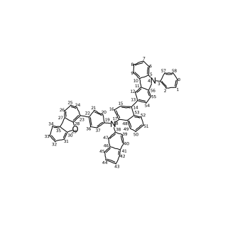 c1ccc(-n2c3ccccc3c3cc(-c4ccc(N(c5ccc(-c6cccc7c6oc6ccccc67)cc5)c5ccc6ccccc6c5)c5ccccc45)ccc32)cc1